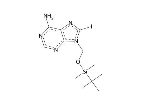 CC(C)(C)[Si](C)(C)OCn1c(I)nc2c(N)ncnc21